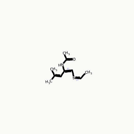 C/C=N\C=C(/C=C(C)C)NC(C)=O